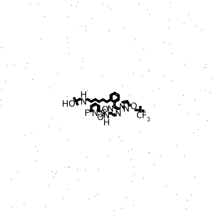 CC(C)(O)CNCCCCCCc1ccccc1-c1nc(NS(=O)(=O)c2cccc(F)n2)cnc1-n1ccc(OCC(C)(C)C(F)(F)F)n1